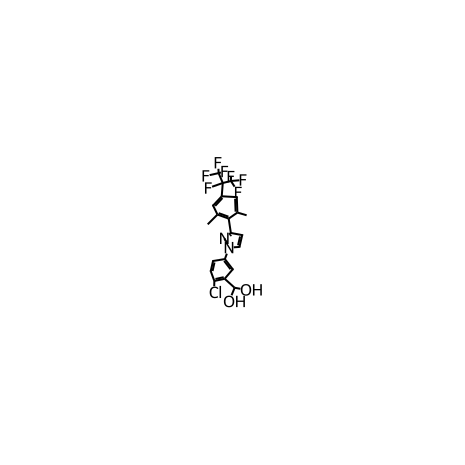 Cc1cc(C(F)(C(F)(F)F)C(F)(F)F)cc(C)c1-c1ccn(-c2ccc(Cl)c(C(O)O)c2)n1